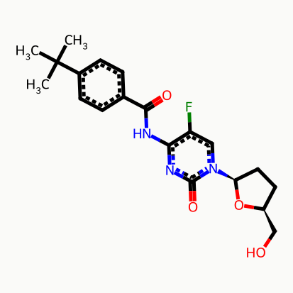 CC(C)(C)c1ccc(C(=O)Nc2nc(=O)n([C@H]3CC[C@@H](CO)O3)cc2F)cc1